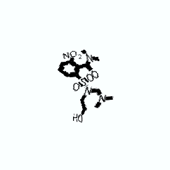 CN(C)CN(CCO)S(=O)(=O)c1cccc([N+](=O)[O-])c1C(=O)N(C)C